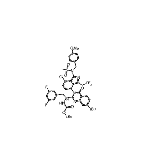 COc1ccc(CN(c2nn(CC(F)(F)F)c3c(-n4c([C@H](Cc5cc(F)cc(F)c5)NC(=O)OC(C)(C)C)nc5cc(C(C)(C)C)ccc5c4=O)ccc(Cl)c23)S(C)(=O)=O)cc1